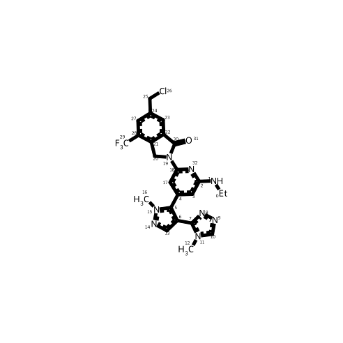 CCNc1cc(-c2c(-c3nncn3C)cnn2C)cc(N2Cc3c(cc(CCl)cc3C(F)(F)F)C2=O)n1